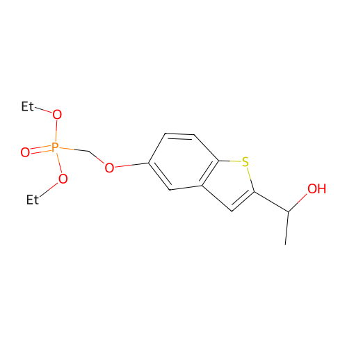 CCOP(=O)(COc1ccc2sc(C(C)O)cc2c1)OCC